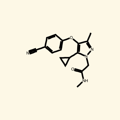 CNC(=O)Cn1nc(C)c(Oc2ccc(C#N)cc2)c1C1CC1